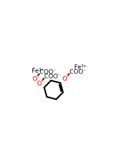 C1=CCCCC1.O=C([O-])[O-].O=C([O-])[O-].O=C([O-])[O-].[Fe+3].[Fe+3]